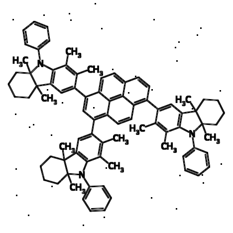 Cc1c(-c2ccc3ccc4c(-c5cc6c(c(C)c5C)N(c5ccccc5)C5(C)CCCCC65C)cc(-c5cc6c(c(C)c5C)N(c5ccccc5)C5(C)CCCCC65C)c5ccc2c3c45)cc2c(c1C)N(c1ccccc1)C1(C)CCCCC21C